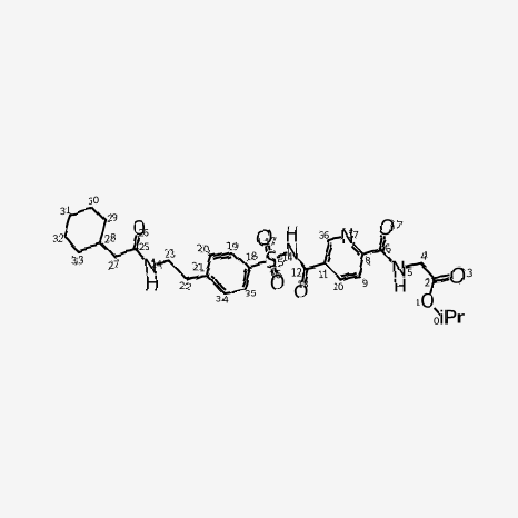 CC(C)OC(=O)CNC(=O)c1ccc(C(=O)NS(=O)(=O)c2ccc(CCNC(=O)CC3CCCCC3)cc2)cn1